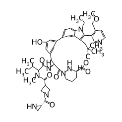 CCn1c(-c2cnccc2COC)c2c3cc(ccc31)-c1cc(O)cc(c1)C[C@H](NC(=O)C(C(C)C)N(C)C(=O)C1CN(C(=O)[C@@H]3CN3)C1)C(=O)N1CCC[C@H](N1)C(=O)OCC(C)(C)C2